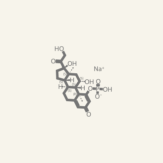 C[C@@]12C(=CC(=O)C=C1OP(=O)([O-])O)CC[C@@H]1[C@@H]2[C@@H](O)C[C@@]2(C)[C@H]1CC[C@]2(O)C(=O)CO.[Na+]